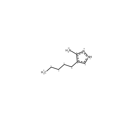 CCCCCc1c[nH]nc1N